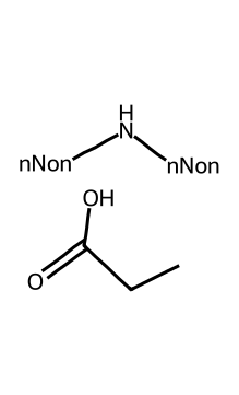 CCC(=O)O.CCCCCCCCCNCCCCCCCCC